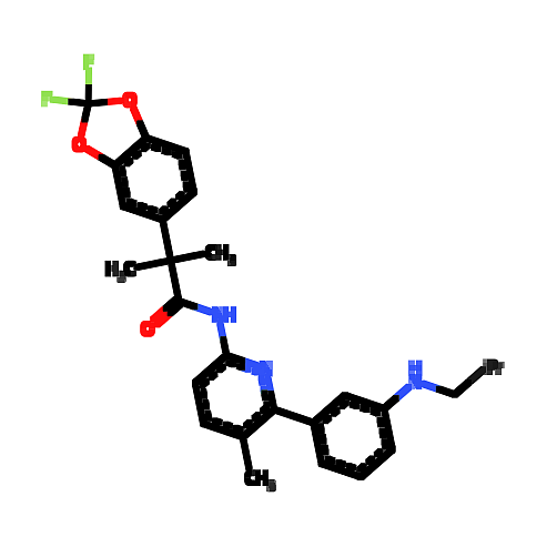 Cc1ccc(NC(=O)C(C)(C)c2ccc3c(c2)OC(F)(F)O3)nc1-c1cccc(NCC(C)C)c1